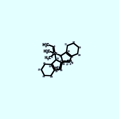 C[CH]=[Zr]([CH3])([CH3])([CH]1C(C)=CC2=C1CCCC2)[CH]1C(C)=CC2=C1CCCC2